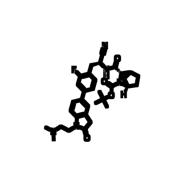 CN(C)CCN1C(=O)Cc2cc(-c3ccc(C[C@@H](C#N)NC(=O)[C@@H]4C5CC[C@H](C5)N4C(=O)OC(C)(C)C)c(F)c3)ccc21